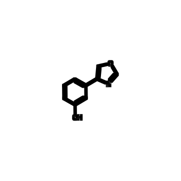 Oc1cccc(-c2cocn2)c1